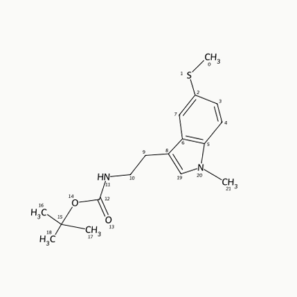 CSc1ccc2c(c1)c(CCNC(=O)OC(C)(C)C)cn2C